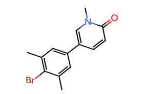 Cc1cc(-c2ccc(=O)n(C)c2)cc(C)c1Br